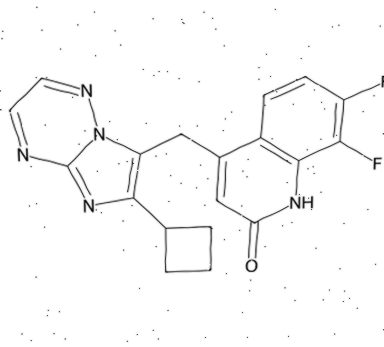 O=c1cc(Cc2c(C3CCC3)nc3nccnn23)c2ccc(F)c(F)c2[nH]1